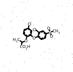 CC(Oc1ccc(Cl)cc1Oc1ccc(S(C)(=O)=O)cc1Cl)C(=O)O